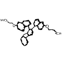 OCCOc1ccc2c(-c3ccc4c(c3-c3cccc5cc(OCCO)ccc35)Cc3ccccc3-4)cccc2c1